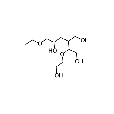 CCOCC(O)CC(CO)C(CO)OCCO